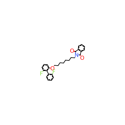 O=C1c2ccccc2C(=O)N1CCCCCCCCOc1cccc(F)c1-c1ccccc1F